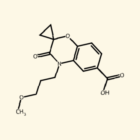 COCCCN1C(=O)C2(CC2)Oc2ccc(C(=O)O)cc21